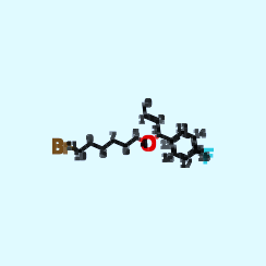 CC=CC(OCCCCCCBr)c1ccc(F)cc1